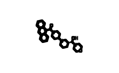 O=C(c1c2ccccc2cc2ccccc12)N1CCC(N2CCC[C@@H](C(O)N3CCOCC3)C2)CC1